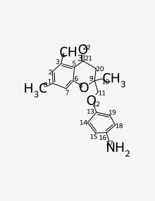 Cc1cc(C)c2c(c1)OC(C)(COc1ccc(N)cc1)CC2=O